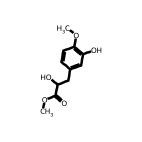 COC(=O)C(O)Cc1ccc(OC)c(O)c1